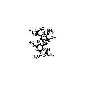 CO[C@@H]1OC(CO)[C@H](O[C@H]2OC(CO)[C@@H](OC)[C@H](O)C2NC(C)=O)C(O)[C@@H]1NC(C)=O